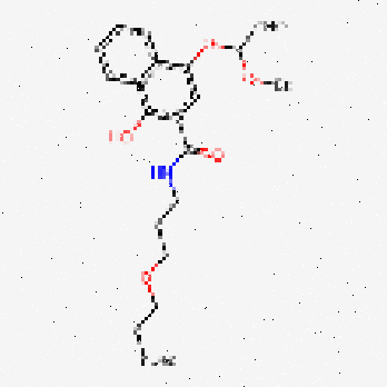 CCCCCCCCCCCCOCCCNC(=O)c1cc(OC(C=O)OCC)c2ccccc2c1O